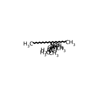 CCCCCCCCCCCCC(CCCCCCCCCC)CN(C)C(CN(C)C)C(=O)NC(C)(C)C